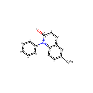 COc1ccc2c(ccc(=O)n2-c2ccccc2)c1